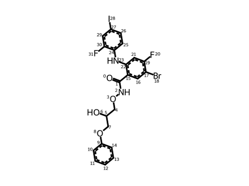 O=C(NOCC(O)COc1ccccc1)c1cc(Br)c(F)cc1Nc1ccc(I)cc1F